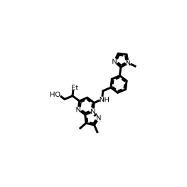 CCC(CO)c1cc(NCc2cccc(-c3nccn3C)c2)n2nc(C)c(C)c2n1